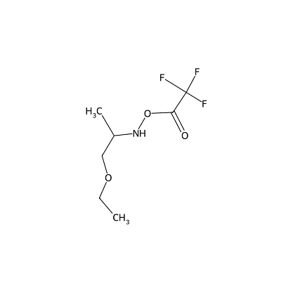 CCOCC(C)NOC(=O)C(F)(F)F